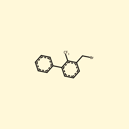 FC(F)(F)c1c(CBr)cccc1-c1ccccc1